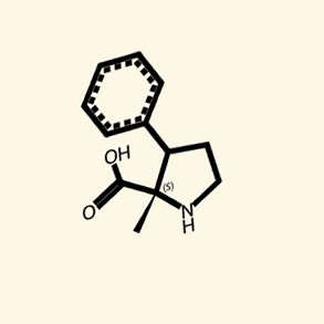 C[C@]1(C(=O)O)NCCC1c1ccccc1